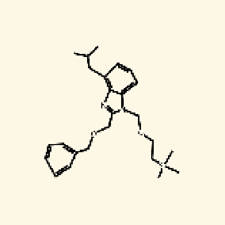 CC(C)Cc1cccc2c1nc(COCc1ccccc1)n2COCC[Si](C)(C)C